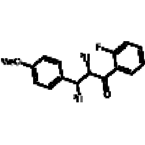 [2H]C(C(=O)c1ccccc1F)C([2H])c1ccc(OC)cc1